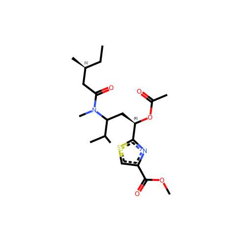 CC[C@H](C)CC(=O)N(C)C(C[C@@H](OC(C)=O)c1nc(C(=O)OC)cs1)C(C)C